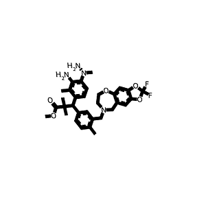 COC(=O)C(C)(C)C(c1ccc(C)c(CN2CCOc3cc4c(cc3C2)OC(F)(F)O4)c1)c1ccc(N(C)N)c(N)c1C